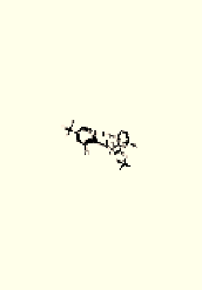 CC(C)(C)OC(=O)N1[C@@H]2CC[C@H]1[C@H](Nc1ncc(C(F)(F)F)cc1Cl)C2